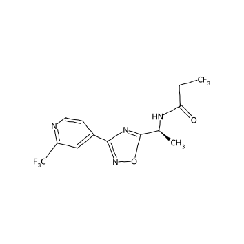 C[C@H](NC(=O)CC(F)(F)F)c1nc(-c2ccnc(C(F)(F)F)c2)no1